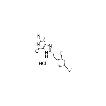 Cl.Nc1nc2nc(CCc3ccc(C4CC4)cc3F)[nH]c2c(=O)[nH]1